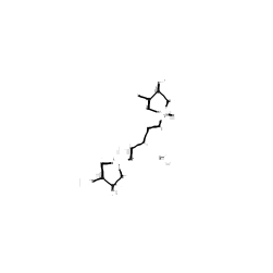 CCC[N+]1(CCCCC[N+]2(CCC)CC(CC)C(CC)C2)CC(CC)C(CC)C1.[OH-].[OH-]